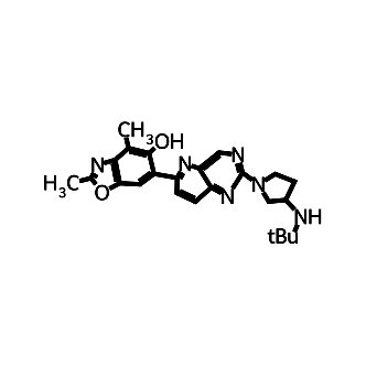 Cc1nc2c(C)c(O)c(-c3ccc4nc(N5CCC(NC(C)(C)C)C5)ncc4n3)cc2o1